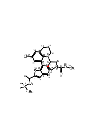 CC(O[Si](C)(C)C(C)(C)C)c1cc2nccc(-c3cc(Cl)cc4c3N(C3CCN(C(=O)OC(C)(C)C)C3)CCC4)c2s1